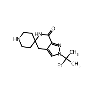 CCC(C)(C)n1cc2c(n1)C(=O)NC1(CCNCC1)C2